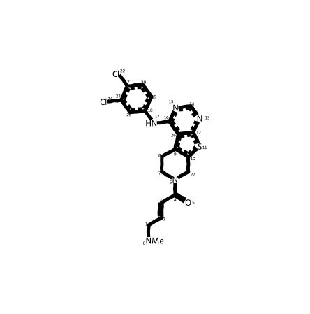 CNC/C=C/C(=O)N1CCc2c(sc3ncnc(Nc4ccc(Cl)c(Cl)c4)c23)C1